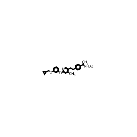 CC(=O)NC(C)c1ccc(CCc2cnc(Oc3cccc(OCC4CC4)c3)cc2C)cc1